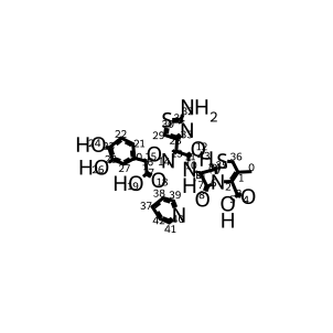 CC1=C(C(=O)O)N2C(=O)[C@@H](NC(=O)C(=NOC(C(=O)O)c3ccc(O)c(O)c3)c3csc(N)n3)[C@H]2SC1.c1ccncc1